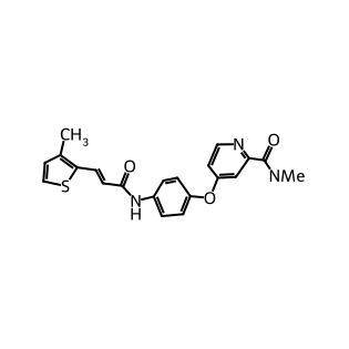 CNC(=O)c1cc(Oc2ccc(NC(=O)C=Cc3sccc3C)cc2)ccn1